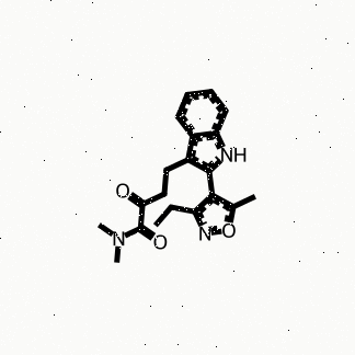 CCc1noc(C)c1-c1[nH]c2ccccc2c1CCC(=O)C(=O)N(C)C